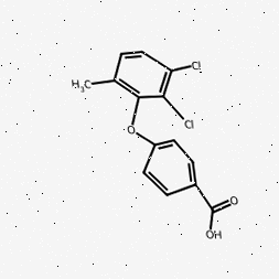 Cc1ccc(Cl)c(Cl)c1Oc1ccc(C(=O)O)cc1